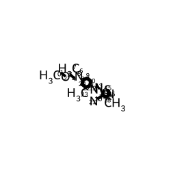 CCOCCN(CC)c1ccc(N=Nc2snc(C)c2C#N)c(C)c1